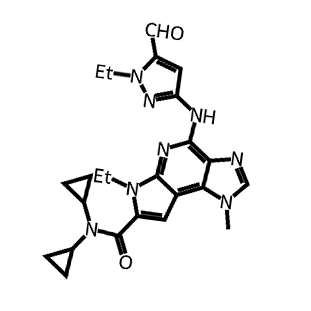 CCn1nc(Nc2nc3c(cc(C(=O)N(C4CC4)C4CC4)n3CC)c3c2ncn3C)cc1C=O